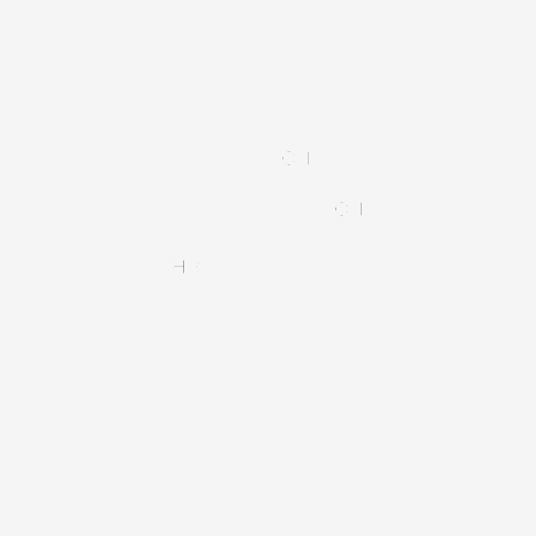 Cc1cc(O)c(O)cc1-c1ccccc1